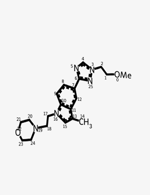 COCCn1cnc(-c2ccc3c(c2)c(C)cn3CCN2CCOCC2)n1